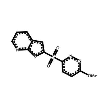 COc1ccc(S(=O)(=O)c2cc3cccnc3s2)nn1